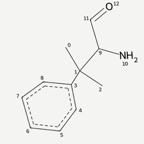 CC(C)(c1ccccc1)C(N)C=O